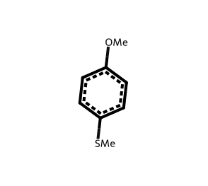 [CH2]Sc1ccc(OC)cc1